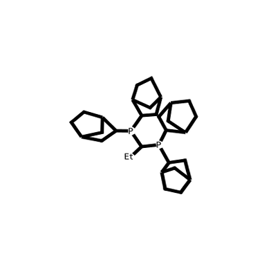 CCC(P(C1CC2CCC1C2)C1CC2CCC1C2)P(C1CC2CCC1C2)C1CC2CCC1C2